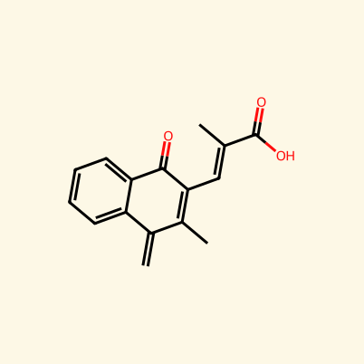 C=C1C(C)=C(/C=C(\C)C(=O)O)C(=O)c2ccccc21